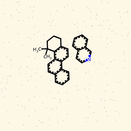 CC1(C)CCCc2ccc3c(ccc4ccccc43)c21.c1ccc2cnccc2c1